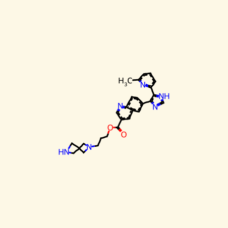 Cc1cccc(-c2[nH]cnc2-c2ccc3ncc(C(=O)OCCCN4CC5(CNC5)C4)cc3c2)n1